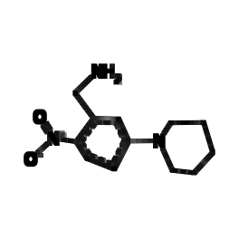 NCc1cc(N2CCCCC2)ccc1[N+](=O)[O-]